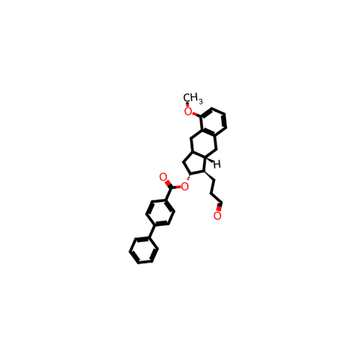 COc1cccc2c1CC1C[C@@H](OC(=O)c3ccc(-c4ccccc4)cc3)[C@H](CCC=O)[C@H]1C2